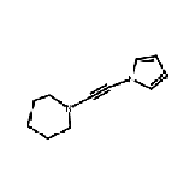 C(#Cn1cccc1)N1CCCCC1